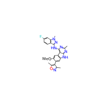 COc1cc2c(cc1-c1c(C)noc1C)[nH]c1nc(C)nc(Nc3nn(C)c4cc(F)ccc34)c12